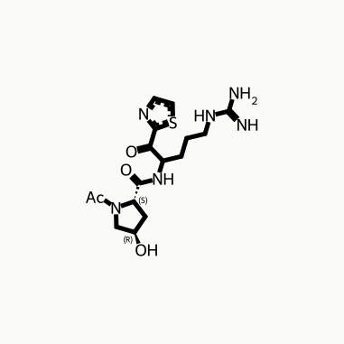 CC(=O)N1C[C@H](O)C[C@H]1C(=O)NC(CCCNC(=N)N)C(=O)c1nccs1